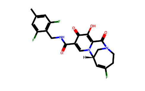 Cc1cc(F)c(CNC(=O)c2cn3c(c(O)c2=O)C(=O)N2CCC(F)=C[C@H]3C2)c(F)c1